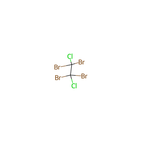 ClC(Br)(Br)C(Cl)(Br)Br